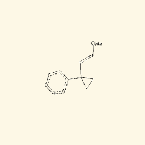 COC=CC1(c2ccccc2)CC1